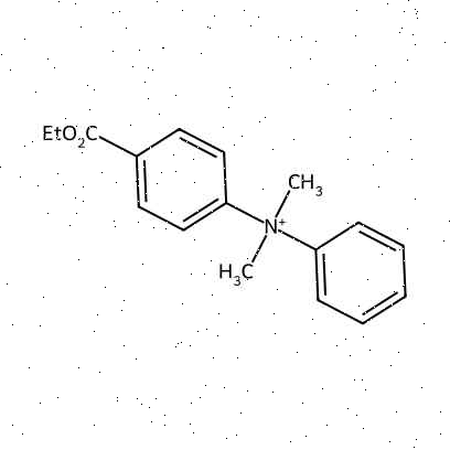 CCOC(=O)c1ccc([N+](C)(C)c2ccccc2)cc1